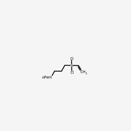 C=C[Si](Cl)(Cl)CCCCCCCC